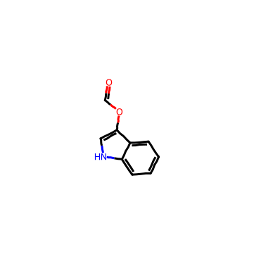 O=COc1c[nH]c2ccccc12